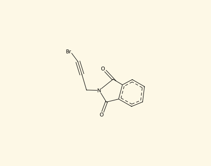 O=C1c2ccccc2C(=O)N1CC#CBr